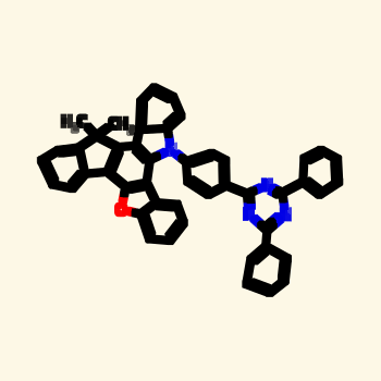 CC1(C)c2ccccc2-c2c1c1c3ccccc3n(-c3ccc(-c4nc(-c5ccccc5)nc(-c5ccccc5)n4)cc3)c1c1c2oc2ccccc21